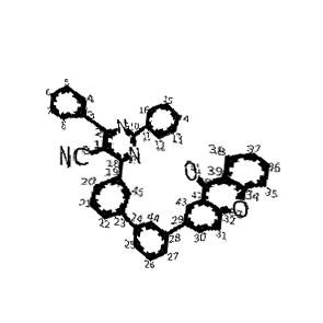 N#Cc1c(-c2ccccc2)nc(-c2ccccc2)nc1-c1cccc(-c2cccc(-c3ccc4oc5ccccc5c(=O)c4c3)c2)c1